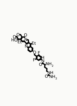 CCc1c2c(nc3ccc(OCc4c(F)cc(NC(=O)[C@@H](N)CCCNC(N)=O)cc4F)cc13)-c1cc3c(c(=O)n1C2)COC(=O)[C@]3(O)CC